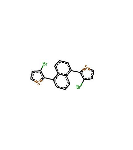 Brc1ccsc1-c1cccc2c(-c3sccc3Br)cccc12